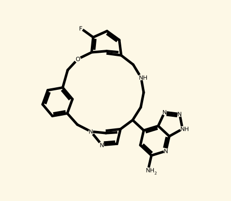 Nc1cc(C2CCNCc3ccc(F)c(c3)OCc3cccc(c3)Cn3cc2cn3)c2nn[nH]c2n1